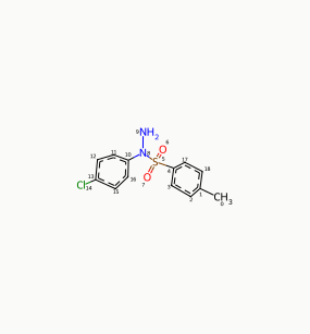 Cc1ccc(S(=O)(=O)N(N)c2ccc(Cl)cc2)cc1